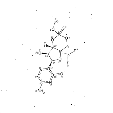 CC(C)OP1(=S)OC[C@@]2(C(F)F)O[C@@H](n3ccc(N)nc3=O)[C@@H](O)[C@@H]2O1